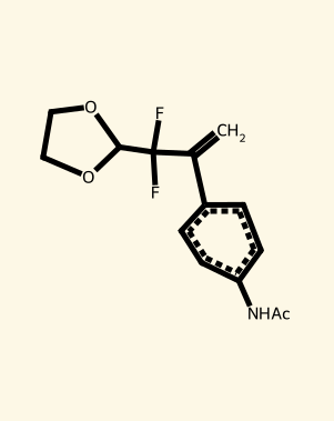 C=C(c1ccc(NC(C)=O)cc1)C(F)(F)C1OCCO1